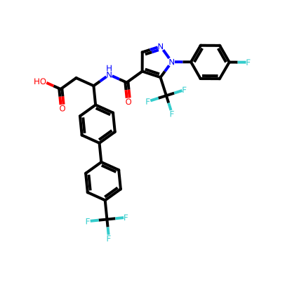 O=C(O)CC(NC(=O)c1cnn(-c2ccc(F)cc2)c1C(F)(F)F)c1ccc(-c2ccc(C(F)(F)F)cc2)cc1